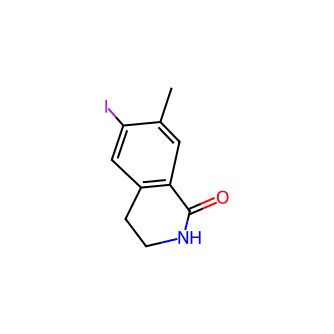 Cc1cc2c(cc1I)CCNC2=O